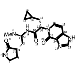 CN[C@H](C[C@@H]1CCNC1=O)NC(=O)[C@H](CC1CC1)n1ccc2[nH]cnc2c1=O